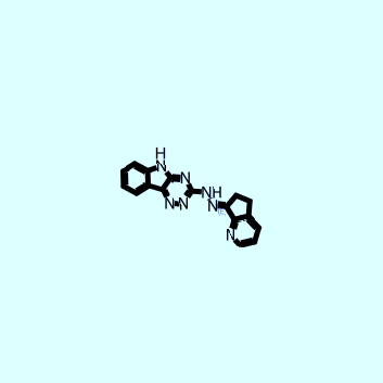 c1cnc2c(c1)CC/C2=N\Nc1nnc2c(n1)[nH]c1ccccc12